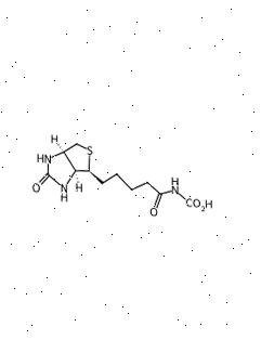 O=C(O)NC(=O)CCCC[C@@H]1SC[C@@H]2NC(=O)N[C@@H]21